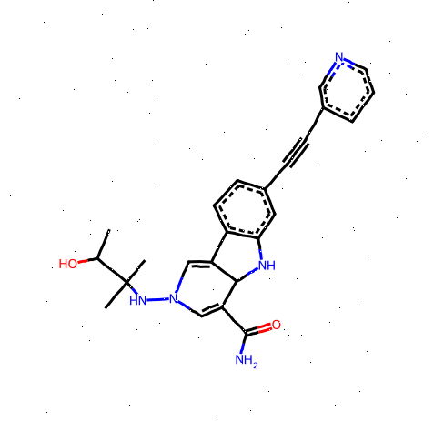 CC(O)C(C)(C)NN1C=C(C(N)=O)C2Nc3cc(C#Cc4cccnc4)ccc3C2=C1